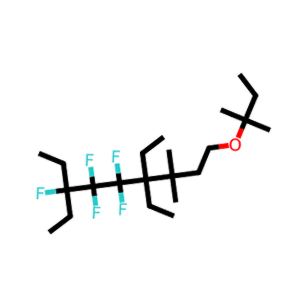 CCC(C)(C)OCCC(C)(C)C(CC)(CC)C(F)(F)C(F)(F)C(F)(CC)CC